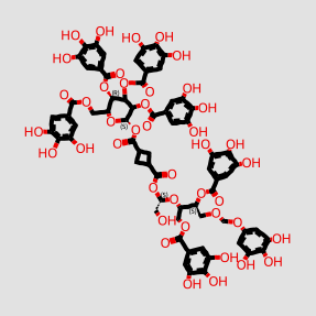 O=C(OCC1O[C@@H](OC(=O)C2CC(C(=O)O[C@@H](CO)OC(COC(=O)c3cc(O)c(O)c(O)c3)[C@H](COCOc3cc(O)c(O)c(O)c3)OC(=O)c3cc(O)c(O)c(O)c3)C2)C(OC(=O)c2cc(O)c(O)c(O)c2)C(OC(=O)c2cc(O)c(O)c(O)c2)[C@@H]1OC(=O)c1cc(O)c(O)c(O)c1)c1cc(O)c(O)c(O)c1